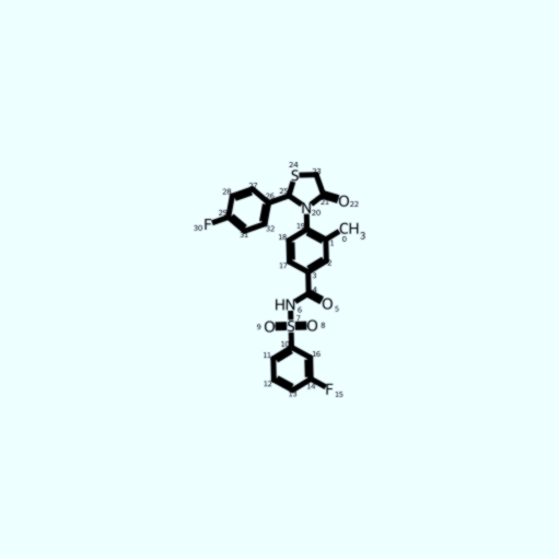 Cc1cc(C(=O)NS(=O)(=O)c2cccc(F)c2)ccc1N1C(=O)CSC1c1ccc(F)cc1